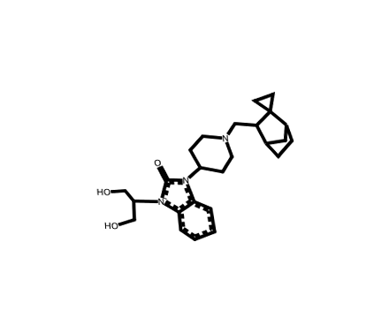 O=c1n(C(CO)CO)c2ccccc2n1C1CCN(CC2C3CCC(C3)C23CC3)CC1